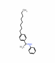 CCCCCCCCc1ccc(C(C)Nc2ccccc2)cc1